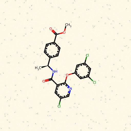 COC(=O)c1ccc([C@H](C)NC(=O)c2cc(Cl)cnc2Oc2cc(Cl)cc(Cl)c2)cc1